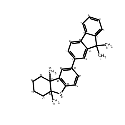 CC1(C)c2ccccc2-c2ccc(-c3ccc4c(c3)C3(C)CCCCC3(C)S4)cc21